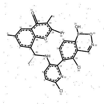 Cc1cc([C@@H](C)Nc2ccc(Cl)nc2-c2ccc3c(c2Cl)C=NOB3O)c2oc(C(C)C)c(C)c(=O)c2c1